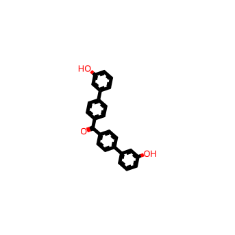 O=C(c1ccc(-c2cccc(O)c2)cc1)c1ccc(-c2cccc(O)c2)cc1